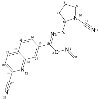 C=NO/C(=N\CC1CCCN1C#N)c1ccc2ccc(C#N)nc2c1